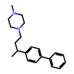 CC(CCN1CCN(C)CC1)c1ccc(-c2ccccc2)cc1